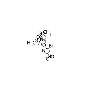 COC(=O)N1[C@H](COc2ncc([N+](=O)[O-])cc2Br)CN(C)S1(=O)=O